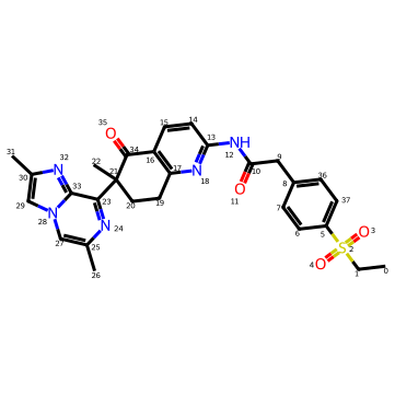 CCS(=O)(=O)c1ccc(CC(=O)Nc2ccc3c(n2)CCC(C)(c2nc(C)cn4cc(C)nc24)C3=O)cc1